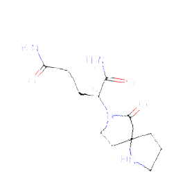 NC(=O)CC[C@@H](C(N)=O)N1CCC2(CCCN2)C1=O